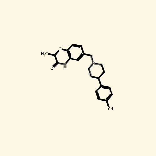 Cc1ccc(C2CCN(Cc3ccc4c(c3)NC(=O)C(C)O4)CC2)cc1